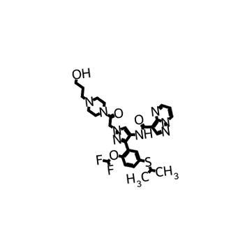 CC(C)Sc1ccc(OC(F)F)c(-c2nn(CC(=O)N3CCN(CCCO)CC3)cc2NC(=O)c2cnn3cccnc23)c1